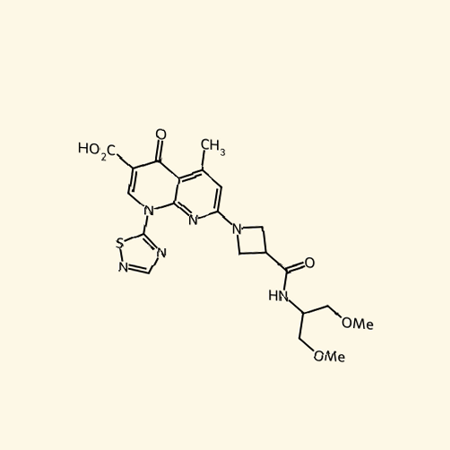 COCC(COC)NC(=O)C1CN(c2cc(C)c3c(=O)c(C(=O)O)cn(-c4ncns4)c3n2)C1